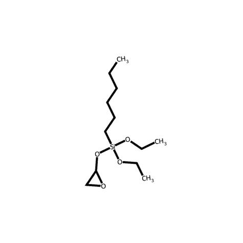 CCCCCC[Si](OCC)(OCC)OC1CO1